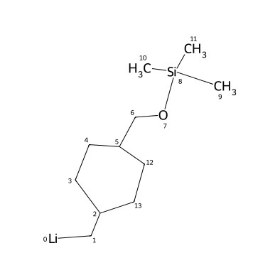 [Li][CH2]C1CCC(CO[Si](C)(C)C)CC1